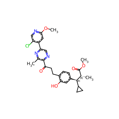 COC(=O)[C@H](C)[C@H](c1ccc(CCC(=O)c2ncc(-c3cc(OC)ncc3Cl)nc2C)c(O)c1)C1CC1